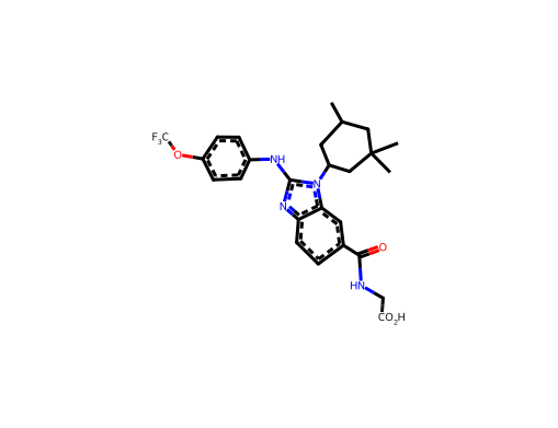 CC1CC(n2c(Nc3ccc(OC(F)(F)F)cc3)nc3ccc(C(=O)NCC(=O)O)cc32)CC(C)(C)C1